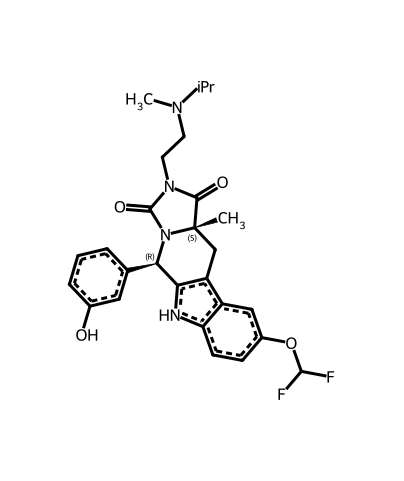 CC(C)N(C)CCN1C(=O)N2[C@H](c3cccc(O)c3)c3[nH]c4ccc(OC(F)F)cc4c3C[C@@]2(C)C1=O